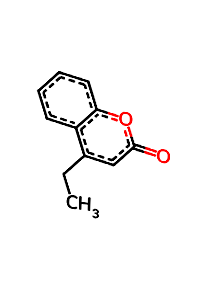 CCc1cc(=O)oc2ccccc12